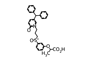 CC(Oc1cccc([S+]([O-])CCCn2cc(C(c3ccccc3)c3ccccc3)ccc2=O)c1)C(=O)O